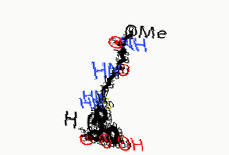 COCCNC(=O)CCCCC(=O)NCCCCCNC(=S)Nc1ccc(-c2c3ccc(=O)cc-3oc3cc(O)ccc23)c(C)c1